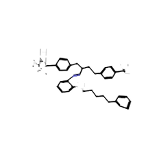 CCC(=O)c1ccc(CCC(/C=C/c2ccccc2OCCCCCc2ccccc2)Cc2ccc(-c3nnn[nH]3)cc2)cc1